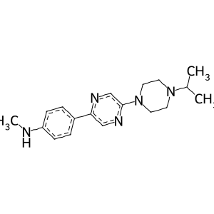 CNc1ccc(-c2cnc(N3CCN(C(C)C)CC3)cn2)cc1